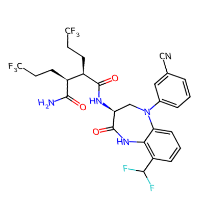 N#Cc1cccc(N2C[C@H](NC(=O)[C@H](CCC(F)(F)F)[C@H](CCC(F)(F)F)C(N)=O)C(=O)Nc3c(C(F)F)cccc32)c1